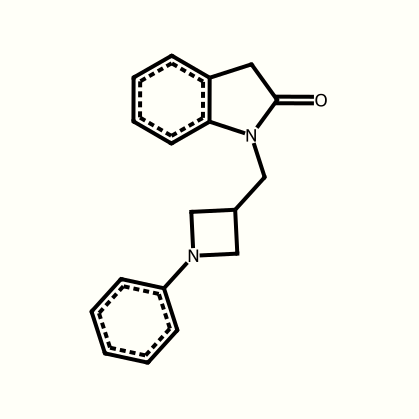 O=C1Cc2ccccc2N1CC1CN(c2ccccc2)C1